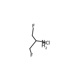 Cl.NC(CF)CF